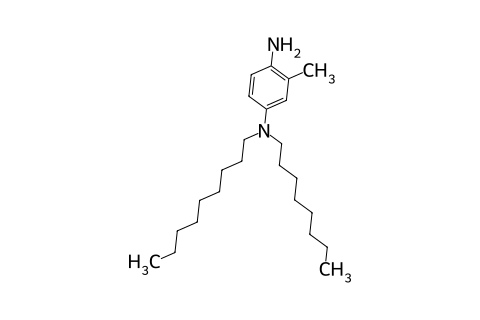 CCCCCCCCCN(CCCCCCCC)c1ccc(N)c(C)c1